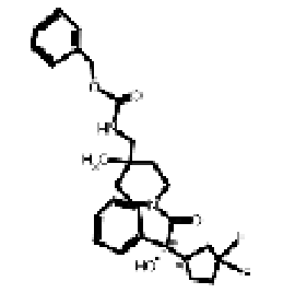 CC1(CNC(=O)OCc2ccccc2)CCN(C(=O)[C@](O)(c2ccccc2)[C@@H]2CCC(F)(F)C2)CC1